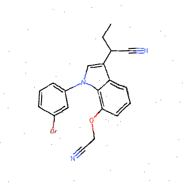 CCC(C#N)c1cn(-c2cccc(Br)c2)c2c(OCC#N)cccc12